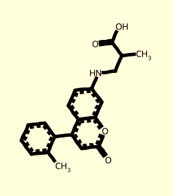 Cc1ccccc1-c1cc(=O)oc2cc(NCC(C)C(=O)O)ccc12